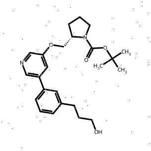 CC(C)(C)OC(=O)N1CCC[C@H]1COc1cncc(-c2cccc(CCCO)c2)c1